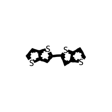 c1cc2sc(-c3cc4sccc4s3)cc2s1